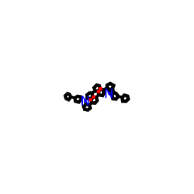 c1ccc(-c2ccc(N(c3ccc(-c4ccccc4)cc3)c3ccccc3-c3ccc(-c4ccc5c6cccc7c8cc(-c9ccccc9)ccc8n(c5c4)c76)cc3)cc2)cc1